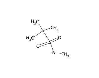 C[N]S(=O)(=O)C(C)(C)C